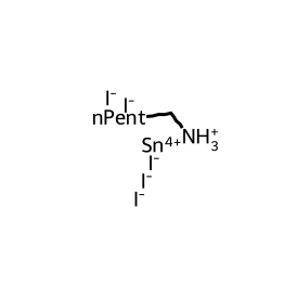 CCCCCC[NH3+].[I-].[I-].[I-].[I-].[I-].[Sn+4]